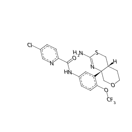 NC1=N[C@@]2(c3cc(NC(=O)c4ccc(Cl)cn4)ccc3OC(F)(F)F)COCC[C@H]2CS1